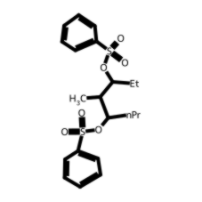 CCCC(OS(=O)(=O)c1ccccc1)C(C)C(CC)OS(=O)(=O)c1ccccc1